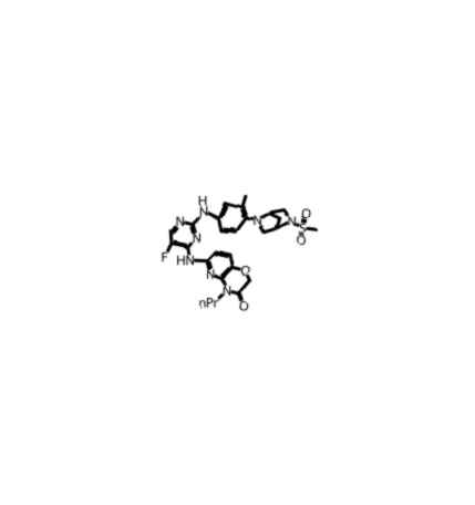 CCCN1C(=O)COc2ccc(Nc3nc(Nc4ccc(N5CC6CC5CN6S(C)(=O)=O)c(C)c4)ncc3F)nc21